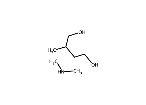 CC(CO)CCO.CNC